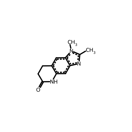 Cc1nc2cc3c(cc2n1C)CCC(=O)N3